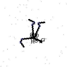 CCCCC/C=C\C/C=C\CCCCCCCC(=O)NC(COC(=O)CCCCCCC/C=C\C/C=C\CCCCC)(COC(=O)CCCCCCC/C=C\C/C=C\CCCCC)COC(O)CCC[N+](C)(C)C.[Cl-]